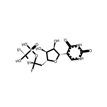 CC[C@](F)(C[C@H]1O[C@@H](c2c[nH]c(=O)[nH]c2=O)[C@H](O)[C@@H]1O)OP(=O)(O)[C@@](C)(O)CC